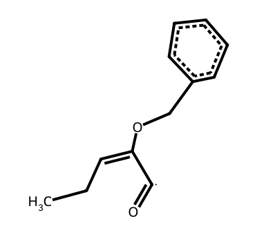 CCC=C([C]=O)OCc1ccccc1